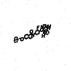 O=c1c2ccc(OC[C@H]3CCCO3)cc2ccn1-c1ccc(O[C@H]2C[C@H]3CC[C@@H](C2)N3Cc2ncc[nH]2)c(F)c1